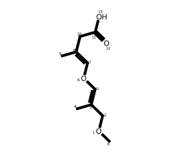 COC/C(C)=C/O/C=C(\C)CC(=O)O